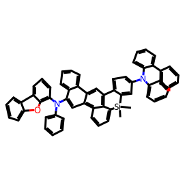 C[Si]1(C)c2cc(N(c3ccccc3)c3ccccc3-c3ccccc3)ccc2-c2cc3c4ccccc4c(N(c4ccccc4)c4cccc5c4oc4ccccc45)cc3c3cccc1c23